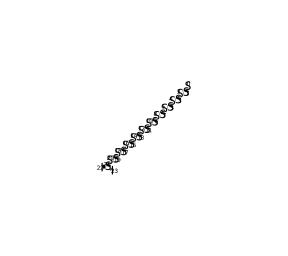 S=S=S=S=S=S=S=S=S=S=S=S=S=S=S=S=S=S=S=S=S=S(I)I